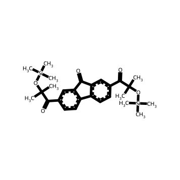 CC(C)(O[Si](C)(C)C)C(=O)c1ccc2c(c1)C(=O)c1cc(C(=O)C(C)(C)O[Si](C)(C)C)ccc1-2